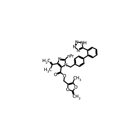 C=C1OC(C)=C(COC(=O)c2c(C(=C)C)nc(CCC)n2Cc2ccc(-c3ccccc3-c3nnn[nH]3)cc2)O1